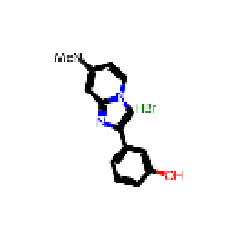 Br.CNc1ccn2cc(-c3cccc(O)c3)nc2c1